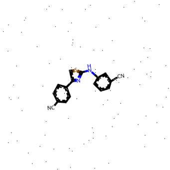 N#Cc1ccc(-c2csc(Nc3cccc(C#N)c3)n2)cc1